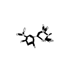 CN1C(=N)N[C@H](c2cc([N+](=O)[O-])c(F)cc2F)CS1(=O)=O